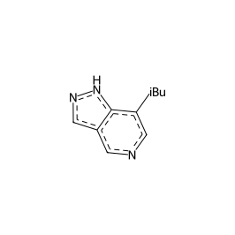 CCC(C)c1cncc2cn[nH]c12